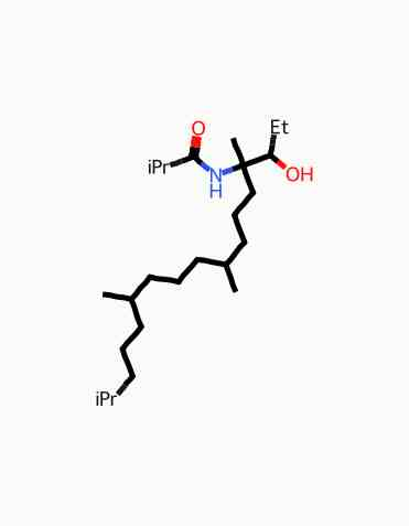 CCC(O)C(C)(CCCC(C)CCCC(C)CCCC(C)C)NC(=O)C(C)C